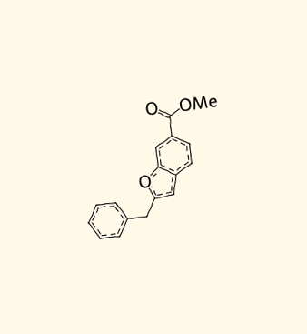 COC(=O)c1ccc2cc(Cc3ccccc3)oc2c1